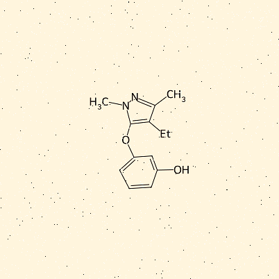 CCc1c(C)nn(C)c1Oc1cccc(O)c1